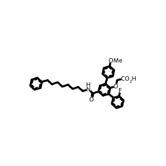 COc1ccc(-c2cc(C(=O)NCCCCCCCCc3ccccc3)cc(-c3ccccc3F)c2OCC(=O)O)cc1